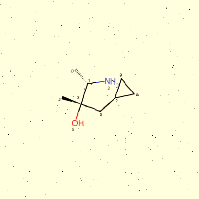 C[C@H](N)[C@@](C)(O)CC1CC1